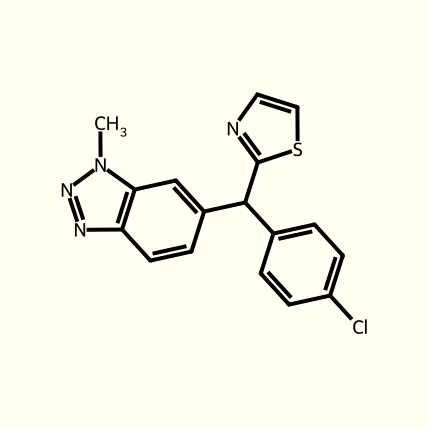 Cn1nnc2ccc(C(c3ccc(Cl)cc3)c3nccs3)cc21